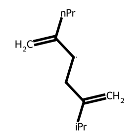 C=C([CH]CC(=C)C(C)C)CCC